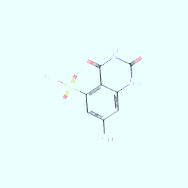 Cc1cc(S(=O)(=O)O)c2c(=O)[nH]c(=O)[nH]c2c1